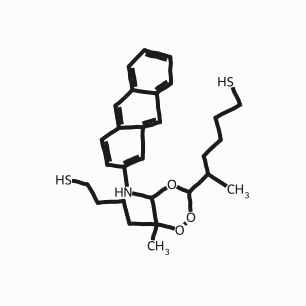 CC(CCCCS)C1OOC(C)(CCCCS)C(Nc2ccc3cc4ccccc4cc3c2)O1